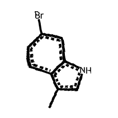 Cc1c[nH]c2cc(Br)ccc12